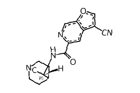 N#Cc1coc2cnc(C(=O)N[C@H]3CN4CCC3CC4)cc12